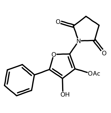 CC(=O)Oc1c(N2C(=O)CCC2=O)oc(-c2ccccc2)c1O